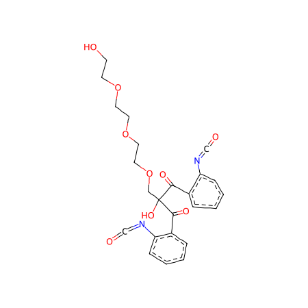 O=C=Nc1ccccc1C(=O)C(O)(COCCOCCOCCO)C(=O)c1ccccc1N=C=O